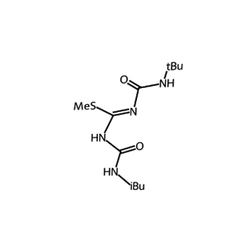 CCC(C)NC(=O)NC(=NC(=O)NC(C)(C)C)SC